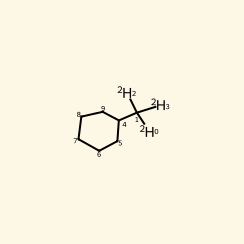 [2H]C([2H])([2H])C1CCCCC1